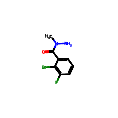 CN(N)C(=O)c1cccc(F)c1Br